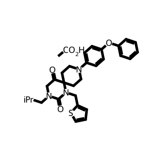 CC(=O)O.CC(C)CN1CC(=O)C2(CCN(c3ccc(Oc4ccccc4)cc3)CC2)N(Cc2cccs2)C1=O